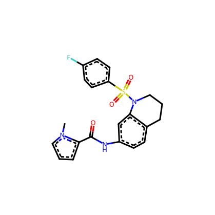 Cn1cccc1C(=O)Nc1ccc2c(c1)N(S(=O)(=O)c1ccc(F)cc1)CCC2